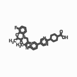 Cc1nc2ccc(-c3cnc(C4CCC(C(=O)O)CC4)nc3)cn2c1CN1C(=O)C(C)Oc2c(F)cccc21